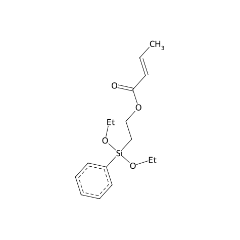 CC=CC(=O)OCC[Si](OCC)(OCC)c1ccccc1